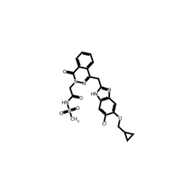 CS(=O)(=O)NC(=O)Cn1nc(Cc2nc3cc(OCC4CC4)c(Cl)cc3[nH]2)c2ccccc2c1=O